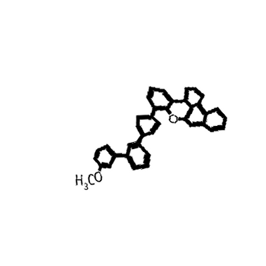 COc1cccc(-c2cccc(-c3ccc(-c4cccc5c4Oc4cc6ccccc6c6cccc-5c46)cc3)c2)c1